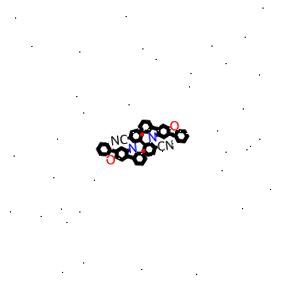 N#Cc1cccc(-c2cccc(C#N)c2-n2c3ccccc3c3cc4oc5ccccc5c4cc32)c1-n1c2ccccc2c2cc3oc4ccccc4c3cc21